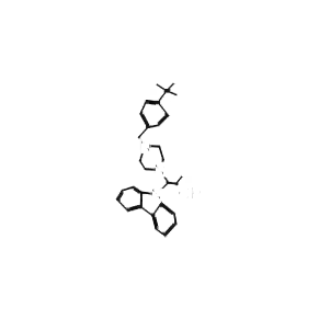 CC(O)C(N1CCN(Cc2ccc(C(C)(C)C)cc2)CC1)n1c2ccccc2c2ccccc21